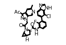 CC(=O)c1nn(CC(=O)N2C3C[C@@H]3C[C@H]2C(=O)Nc2cccc(-c3ccc4nc[nH]c4c3Cl)c2F)c2cnc(C)cc12